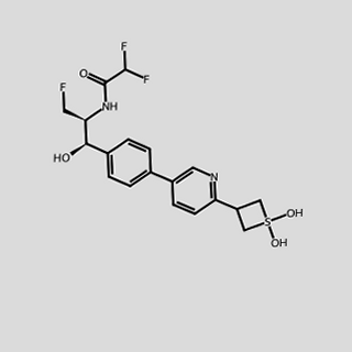 O=C(N[C@H](CF)[C@H](O)c1ccc(-c2ccc(C3CS(O)(O)C3)nc2)cc1)C(F)F